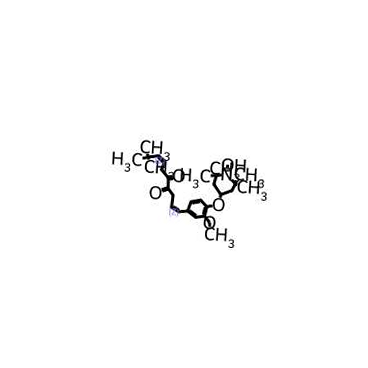 COc1cc(/C=C\CC(=O)C(=O)C/C=C\C(C)(C)C)ccc1OC1CC(C)(C)N(O)C(C)(C)C1